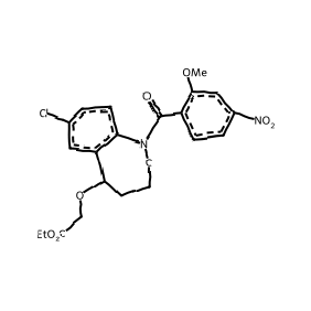 CCOC(=O)COC1CCCN(C(=O)c2ccc([N+](=O)[O-])cc2OC)c2ccc(Cl)cc21